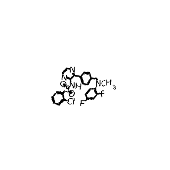 CN(Cc1ccc(-c2nccnc2NS(=O)(=O)c2ccccc2Cl)cc1)c1ccc(F)cc1F